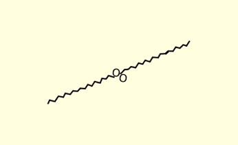 CCCCCCC=CCCCCCCCCCCCC(=O)OCCCCCCCCCCCCCCCCCCC